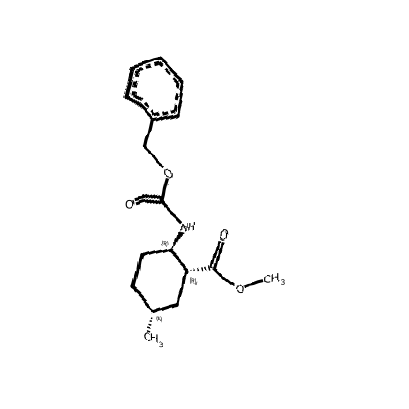 COC(=O)[C@@H]1C[C@H](C)CC[C@H]1NC(=O)OCc1ccccc1